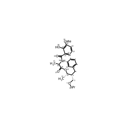 CCCOC[C@@H](Cc1ccccc1)[C@H](C)OC(=O)C(C)NC(=O)c1nccc(OC)c1O